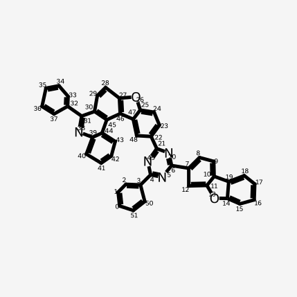 c1ccc(-c2nc(-c3ccc4c(c3)oc3ccccc34)nc(-c3ccc4oc5ccc6c(-c7ccccc7)nc7ccccc7c6c5c4c3)n2)cc1